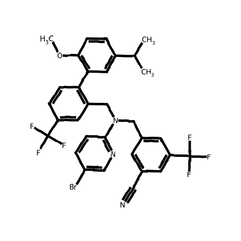 COc1ccc(C(C)C)cc1-c1ccc(C(F)(F)F)cc1CN(Cc1cc(C#N)cc(C(F)(F)F)c1)c1ccc(Br)cn1